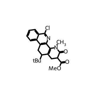 COC(=O)C1CC2=C(c3nc(Cl)c4ccccc4c3CC2C(C)(C)C)N(C)C1=O